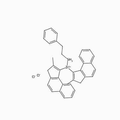 CC1=[C]([Zr+2]([SiH2]CCc2ccccc2)[C]2=C(C)Cc3ccc4ccccc4c32)c2c(ccc3ccccc23)C1.[Cl-].[Cl-]